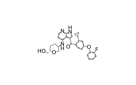 O=C(c1ccc(Oc2ccccc2F)cc1C1CC1)c1c[nH]c2nccc(N[C@@H]3CC[C@@H](CO)OC3)c12